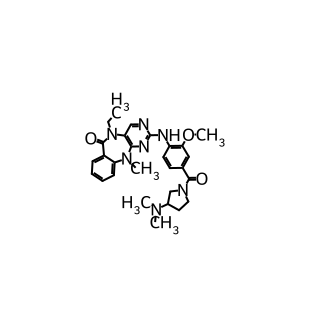 CCN1C(=O)c2ccccc2N(C)c2nc(Nc3ccc(C(=O)N4CCC(N(C)C)C4)cc3OC)ncc21